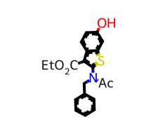 CCOC(=O)c1c(N(Cc2ccccc2)C(C)=O)sc2cc(O)ccc12